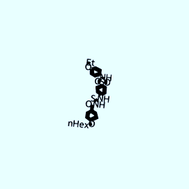 CCCCCCOc1ccc(C(=O)NC(=S)Nc2ccc(S(=O)(=O)Nc3ccc(OCC)cc3)cc2)cc1